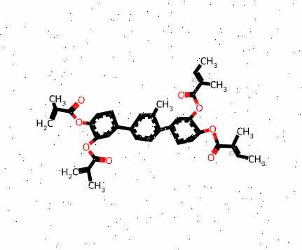 C=C(C)C(=O)Oc1ccc(-c2ccc(-c3ccc(OC(=O)/C(C)=C/C)c(OC(=O)/C(C)=C/C)c3)c(C)c2)cc1OC(=O)C(=C)C